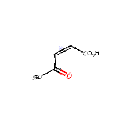 CC(C)(C)C(=O)/C=C\C(=O)O